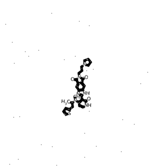 CC(Cc1cccs1)N(C)c1cc[nH]c(=O)c1-c1nc2cc3c(cc2[nH]1)C(=O)N(CCCN1CCCC1)C3=O